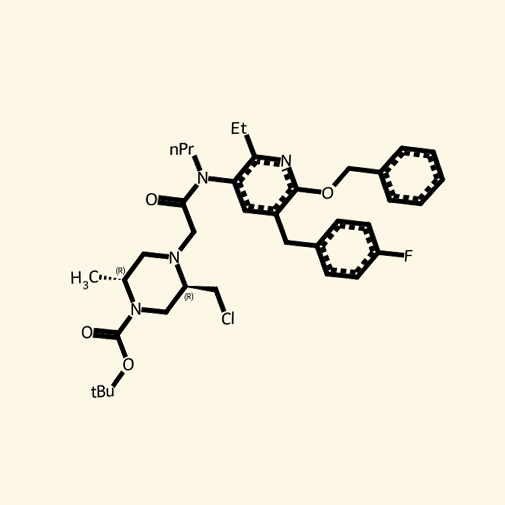 CCCN(C(=O)CN1C[C@@H](C)N(C(=O)OC(C)(C)C)C[C@@H]1CCl)c1cc(Cc2ccc(F)cc2)c(OCc2ccccc2)nc1CC